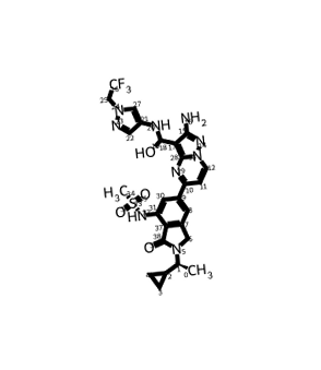 C[C@@H](C1CC1)N1Cc2cc(-c3ccn4nc(N)c(C(O)Nc5cnn(CC(F)(F)F)c5)c4n3)cc(NS(C)(=O)=O)c2C1=O